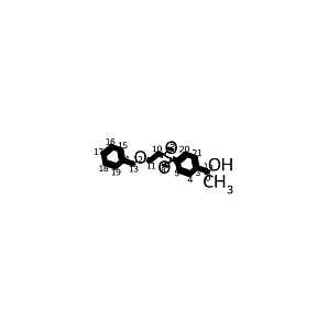 CC(O)c1ccc(S(=O)(=O)CCOCc2ccccc2)cc1